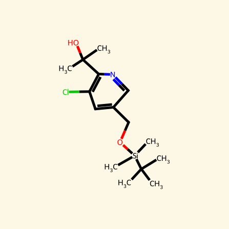 CC(C)(O)c1ncc(CO[Si](C)(C)C(C)(C)C)cc1Cl